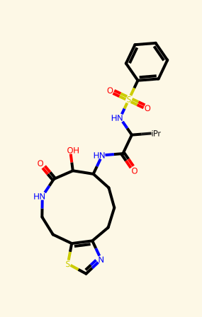 CC(C)C(NS(=O)(=O)c1ccccc1)C(=O)NC1CCCc2ncsc2CCNC(=O)C1O